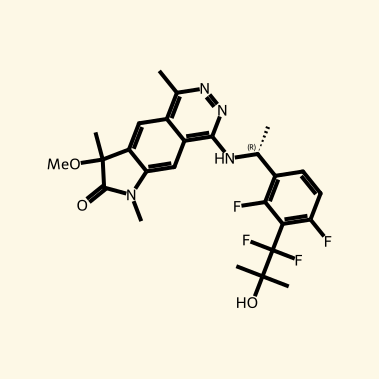 COC1(C)C(=O)N(C)c2cc3c(N[C@H](C)c4ccc(F)c(C(F)(F)C(C)(C)O)c4F)nnc(C)c3cc21